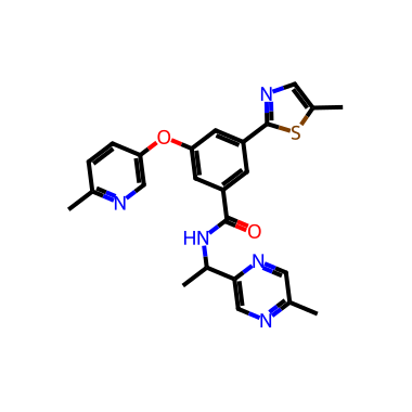 Cc1ccc(Oc2cc(C(=O)NC(C)c3cnc(C)cn3)cc(-c3ncc(C)s3)c2)cn1